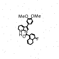 COc1ccc(C2=CN(C(=O)C3=C4C=CCCC4C(F)C=C3)C3NCCC=C23)cc1OC